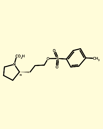 Cc1ccc(S(=O)(=O)OCCC[C@@H]2CCCN2C(=O)O)cc1